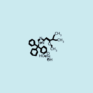 CCOC(=Cc1ncn(C(c2ccccc2)(c2ccccc2)c2ccccc2)n1)C(CC)CC.O=[PH](O)O